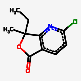 CCC1(C)OC(=O)c2ccc(Cl)nc21